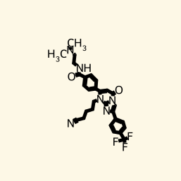 CN(C)CCNC(=O)c1ccc(-c2cc(=O)n3cc(-c4ccc(C(F)(F)F)cc4)nc3n2CCCCC#N)cc1